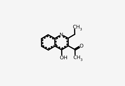 CCc1nc2ccccc2c(O)c1C(C)=O